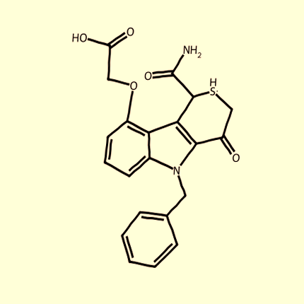 NC(=O)C1[SH]CC(=O)c2c1c1c(OCC(=O)O)cccc1n2Cc1ccccc1